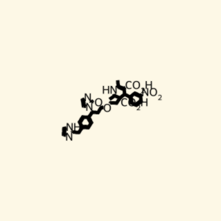 CC1=C(C(=O)O)C(c2cccc([N+](=O)[O-])c2)C(CCOC(=O)CC(c2ccc(Cc3ncc[nH]3)cc2)n2ccnc2)(C(=O)O)C(C)N1